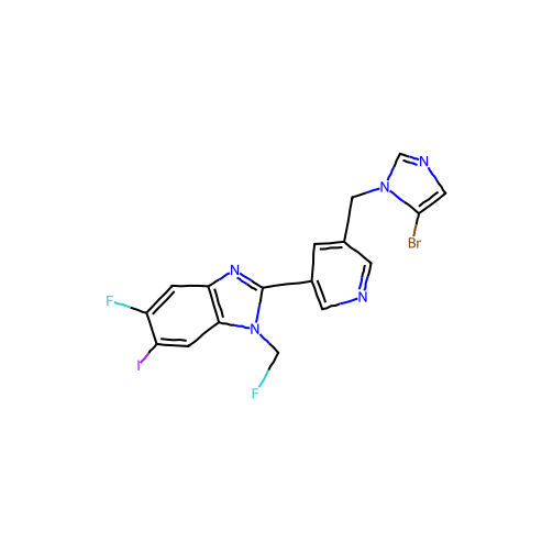 FCn1c(-c2cncc(Cn3cncc3Br)c2)nc2cc(F)c(I)cc21